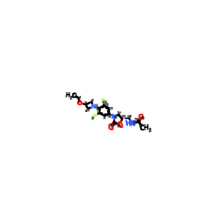 CCOC1CN(c2c(F)cc(N3C[C@H](CNC(C)=O)OC3=O)cc2F)C1